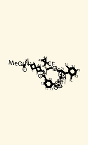 COC(=O)N(C)[C@H]1CC2(C1)C[C@H](N1C(=O)c3cccc(c3)S(=O)(=O)Nc3nc(cc(-c4c(C)cccc4C)n3)OC[C@H]1CC1(C(F)(F)F)CC1)C2